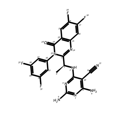 C[C@H](Nc1nc(N)nc(N)c1C#N)c1nc2cc(F)c(F)cc2c(=O)n1-c1cc(F)cc(F)c1